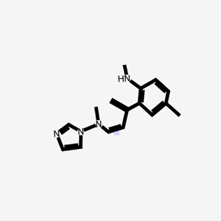 C=C(/C=C\N(C)n1ccnc1)c1cc(C)ccc1NC